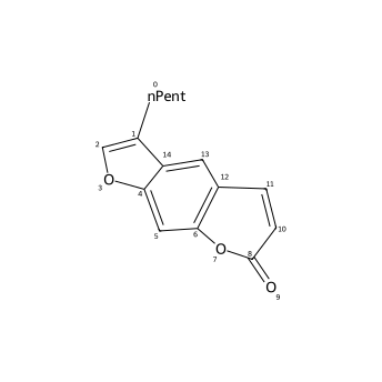 CCCCCc1coc2cc3oc(=O)ccc3cc12